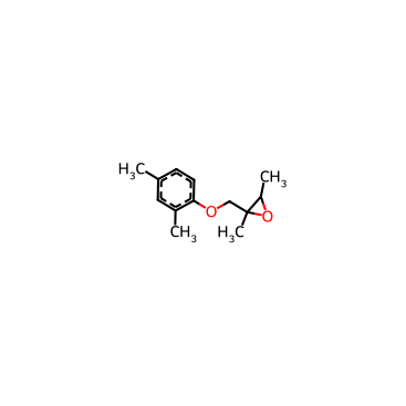 Cc1ccc(OCC2(C)OC2C)c(C)c1